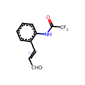 O=[C]/C=C/c1ccccc1NC(=O)C(F)(F)F